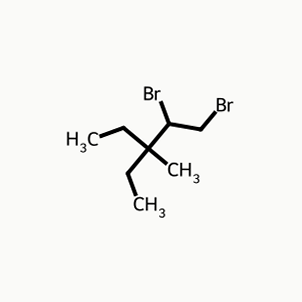 CCC(C)(CC)C(Br)CBr